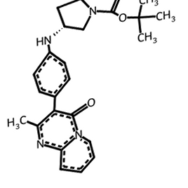 Cc1nc2ccccn2c(=O)c1-c1ccc(N[C@@H]2CCN(C(=O)OC(C)(C)C)C2)cc1